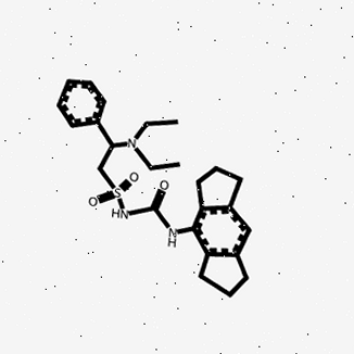 CCN(CC)C(CS(=O)(=O)NC(=O)Nc1c2c(cc3c1CCC3)CCC2)c1ccccc1